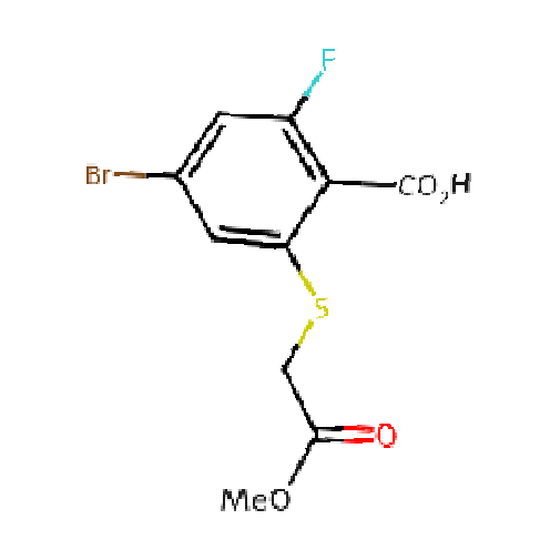 COC(=O)CSc1cc(Br)cc(F)c1C(=O)O